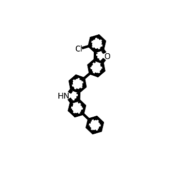 Clc1cccc2oc3ccc(-c4ccc5[nH]c6ccc(-c7ccccc7)cc6c5c4)cc3c12